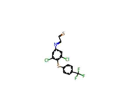 FC(F)(F)c1ccc(Sc2c(Cl)cc(N=CC=S)cc2Cl)cc1